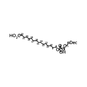 CCCCCCCCCCCOOP(=O)(O)OCCCCCCCCCCCCCCCC(=O)O